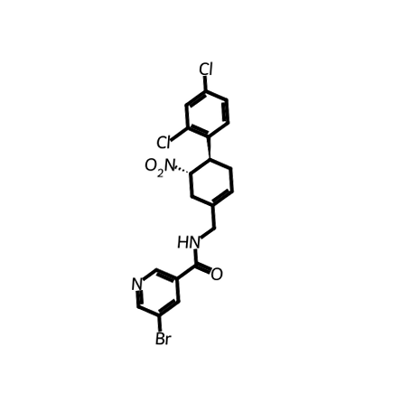 O=C(NCC1=CC[C@H](c2ccc(Cl)cc2Cl)[C@@H]([N+](=O)[O-])C1)c1cncc(Br)c1